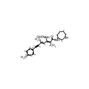 C/C(C(=O)NC1CCCCNC1)=C(\C=C(/C)C#Cc1ccc(C)nc1)NC=O